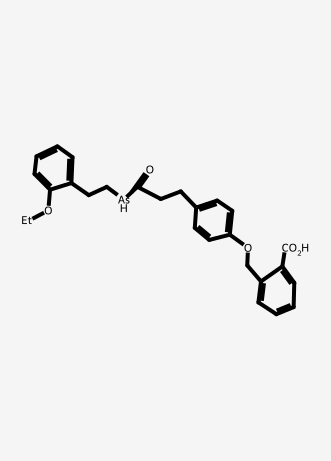 CCOc1ccccc1CC[AsH]C(=O)CCc1ccc(OCc2ccccc2C(=O)O)cc1